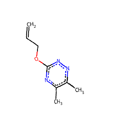 C=CCOc1nnc(C)c(C)n1